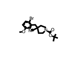 COc1ccc(Br)c(CC2(C#N)CCN(C(=O)OC(C)(C)C)CC2)c1